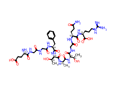 C[C@H](NC(=O)[C@@H](NC(=O)[C@H](Cc1ccccc1)NC(=O)CNC(=O)CNC(=O)[C@@H](N)CCC(=O)O)[C@@H](C)O)C(=O)N[C@H](C(=O)NCC(=O)N[C@@H](CCC(N)=O)C(=O)N[C@@H](CCCNC(=N)N)C(=O)O)[C@@H](C)O